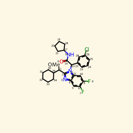 COC(c1nc2cc(F)c(F)cc2n1C(C(=O)NC1CCCC1)c1cccc(Cl)c1)C1CCCCC1